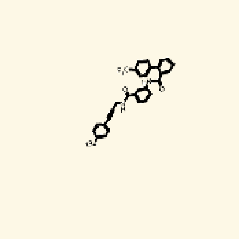 CC(C)(C)c1ccc(C#CCNC(=O)c2cccc(NC(=O)c3ccccc3-c3ccc(C(F)(F)F)cc3)c2)cc1